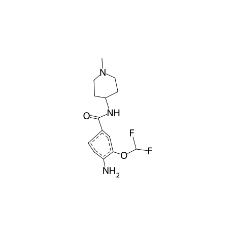 CN1CCC(NC(=O)c2ccc(N)c(OC(F)F)c2)CC1